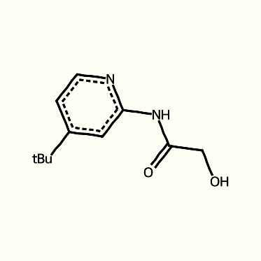 CC(C)(C)c1ccnc(NC(=O)CO)c1